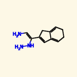 N/C=C(\NN)C1=CC2=CCCC=C2C1